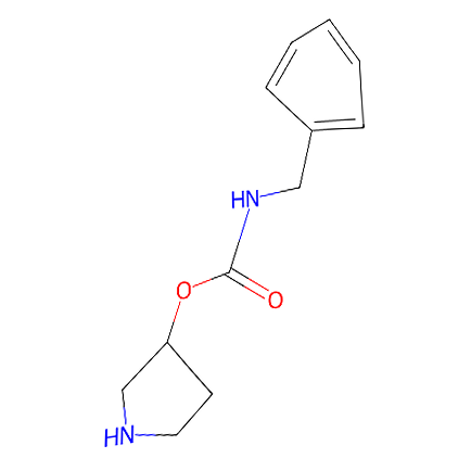 O=C(NCc1ccccc1)OC1CCNC1